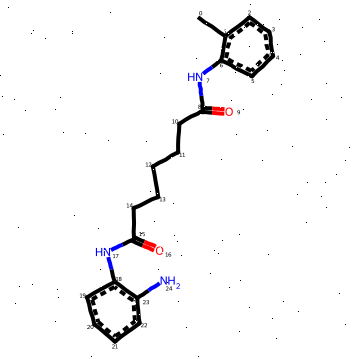 Cc1ccccc1NC(=O)CCCCCC(=O)Nc1ccccc1N